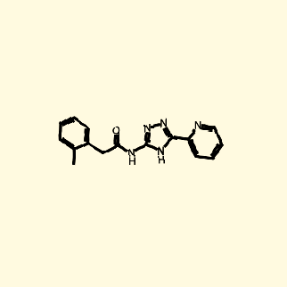 Cc1ccccc1CC(=O)Nc1nnc(-c2ccccn2)[nH]1